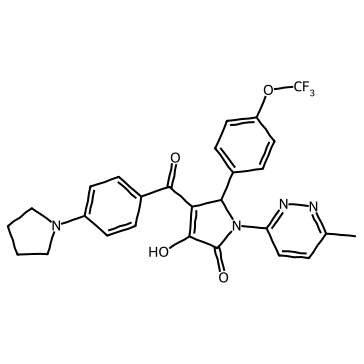 Cc1ccc(N2C(=O)C(O)=C(C(=O)c3ccc(N4CCCC4)cc3)C2c2ccc(OC(F)(F)F)cc2)nn1